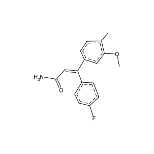 COc1cc(/C(=C/C(N)=O)c2ccc(F)cc2)ccc1C